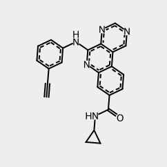 C#Cc1cccc(Nc2nc3cc(C(=O)NC4CC4)ccc3c3cncnc23)c1